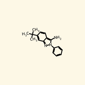 CC(C)(C)c1ccc2c(N)n(-c3ccccc3)nc2c1